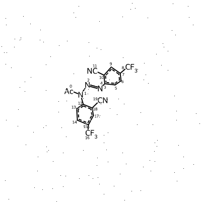 CC(=O)N(N=Nc1ccc(C(F)(F)F)cc1C#N)c1ccc(C(F)(F)F)cc1C#N